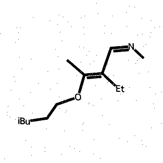 CCC(/C=N\C)=C(/C)OCCC(C)CC